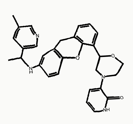 Cc1cncc(C(C)Nc2ccc3c(c2)Cc2cccc(C4CN(c5ccc[nH]c5=O)CCO4)c2O3)c1